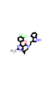 Cc1ncc(C(=O)N(CCc2c[nH]c3ccccc23)CC2CC2)c(-c2ccc(Cl)c(Cl)c2)n1